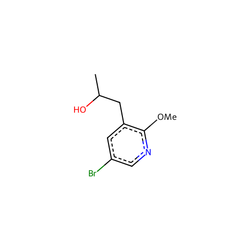 COc1ncc(Br)cc1CC(C)O